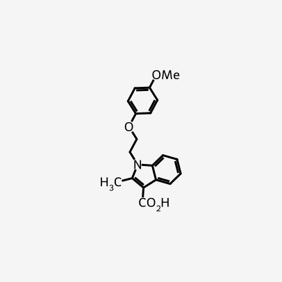 COc1ccc(OCCn2c(C)c(C(=O)O)c3ccccc32)cc1